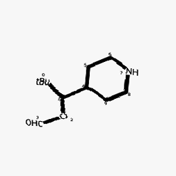 CC(C)(C)C(OC=O)C1CCNCC1